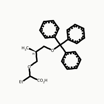 CCC(OC[C@@H](C)COC(c1ccccc1)(c1ccccc1)c1ccccc1)C(=O)O